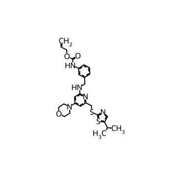 C=CCOC(=O)Nc1cccc(CNc2cc(N3CCOCC3)cc(CSc3ncc(C(C)C)s3)n2)c1